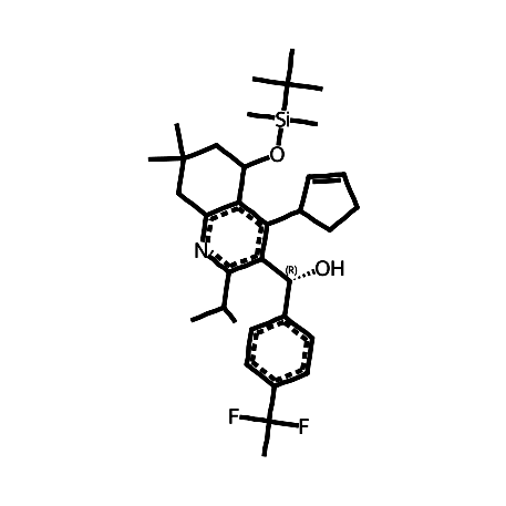 CC(C)c1nc2c(c(C3C=CCC3)c1[C@H](O)c1ccc(C(C)(F)F)cc1)C(O[Si](C)(C)C(C)(C)C)CC(C)(C)C2